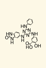 O=C(O)c1cc(Nc2nc(Nc3ccccc3)nc(Nc3ccc4[nH]c(=O)[nH]c4c3)n2)ccc1O